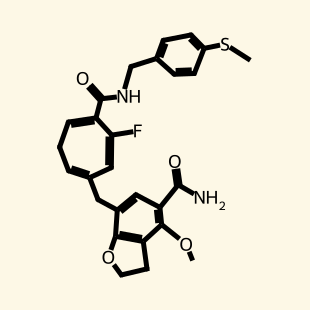 COc1c(C(N)=O)cc(CC2=CCC=C(C(=O)NCc3ccc(SC)cc3)C(F)=C2)c2c1CCO2